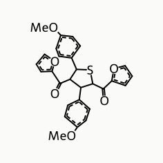 COc1ccc(C2SC(C(=O)c3ccco3)C(c3ccc(OC)cc3)C2C(=O)c2ccco2)cc1